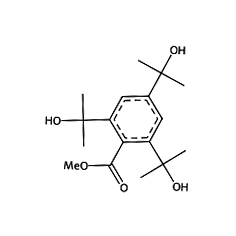 COC(=O)c1c(C(C)(C)O)cc(C(C)(C)O)cc1C(C)(C)O